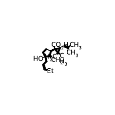 C=C1[C@H]([C@]2(C(=O)O)[C@H](C=C(C)C)C2(C)C)CC[C@]1(O)C/C=C\CC